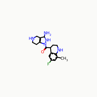 Cc1cc(F)cc2c1NCCC2C(=O)N1NC(N)C2=C1CCNC2